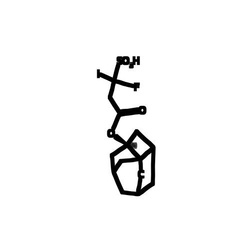 O=C(CC(F)(I)S(=O)(=O)O)O[C@@]12CC3CC4CC(C1)C2(C4)C3